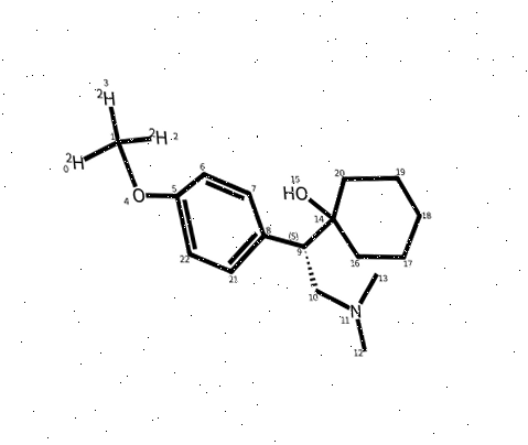 [2H]C([2H])([2H])Oc1ccc([C@@H](CN(C)C)C2(O)CCCCC2)cc1